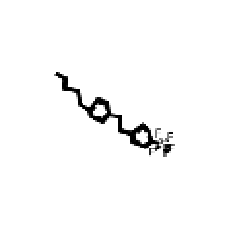 CCCCCc1ccc(CCc2ccc(S(F)(F)(F)(F)F)cc2)cc1